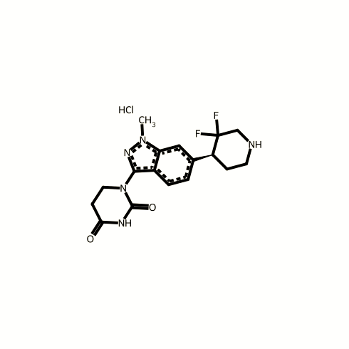 Cl.Cn1nc(N2CCC(=O)NC2=O)c2ccc([C@@H]3CCNCC3(F)F)cc21